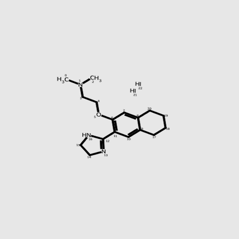 CN(C)CCOc1cc2c(cc1C1=NCCN1)CCCC2.I.I